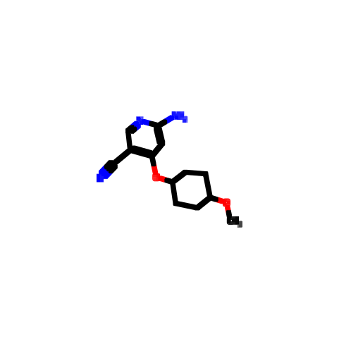 COC1CCC(Oc2cc(N)ncc2C#N)CC1